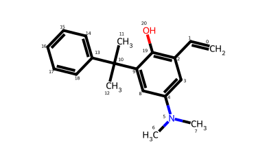 C=Cc1cc(N(C)C)cc(C(C)(C)c2ccccc2)c1O